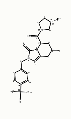 CC1Cc2nn(Cc3ccc(C(F)(F)F)nc3)c(=O)n2C(C(=O)N2CC[C@H](F)C2)C1